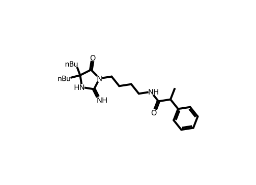 CCCCC1(CCCC)NC(=N)N(CCCCNC(=O)C(C)c2ccccc2)C1=O